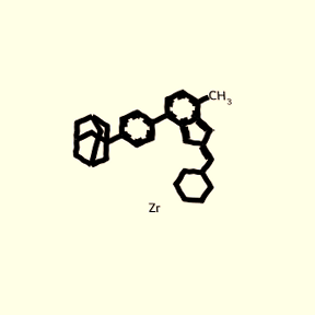 Cc1ccc(-c2ccc(C34CC5CC(CC(C5)C3)C4)cc2)c2c1=[C]C(=CC1CCCCC1)C=2.[Zr]